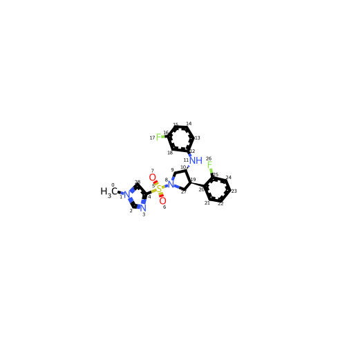 Cn1cnc(S(=O)(=O)N2C[C@H](Nc3cccc(F)c3)[C@@H](c3ccccc3F)C2)c1